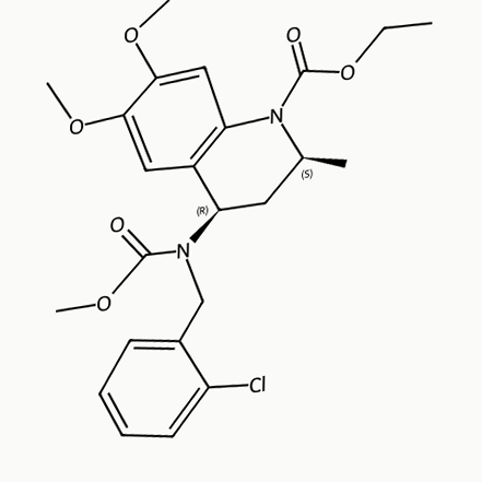 CCOC(=O)N1c2cc(OC)c(OC)cc2[C@H](N(Cc2ccccc2Cl)C(=O)OC)C[C@@H]1C